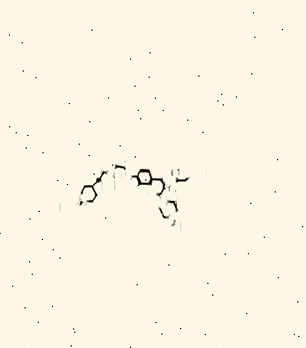 CCC(=O)N[C@@H](C(=O)N1CCN(C)CC1)[C@@H](C)c1ccc(NC(=O)[C@H](C)NC(=O)C(F)(F)C2CCN(C)CC2)c(F)c1